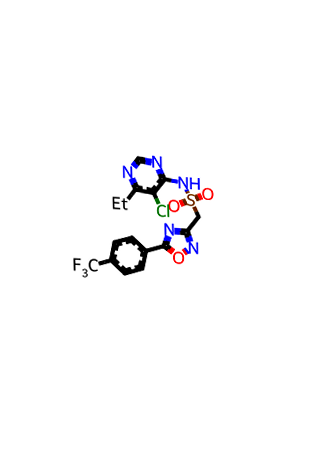 CCc1ncnc(NS(=O)(=O)Cc2noc(-c3ccc(C(F)(F)F)cc3)n2)c1Cl